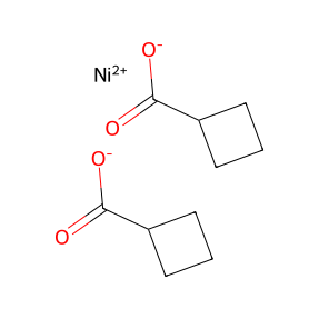 O=C([O-])C1CCC1.O=C([O-])C1CCC1.[Ni+2]